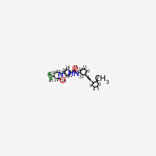 Cc1ccccc1C#Cc1cccc(NC(=O)c2ccc(N3CCC(F)(F)CC3=O)cc2)c1